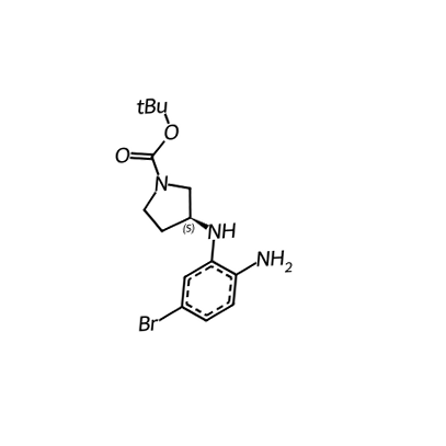 CC(C)(C)OC(=O)N1CC[C@H](Nc2cc(Br)ccc2N)C1